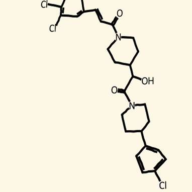 O=C(C=Cc1ccc(Cl)c(Cl)c1)N1CCC(C(O)C(=O)N2CCC(c3ccc(Cl)cc3)CC2)CC1